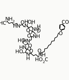 N[C@H]([C]=O)CCCCNC(=O)CNC(=O)[C@H](CO)NC(=O)[C@H](CO)NC(=O)CNC(=O)[C@H](CO)NC(=O)[C@H](CO)NC(=O)CC[C@H](NC(=O)CCCCCCCCCCOc1ccc(C(=O)O)cc1)C(=O)O